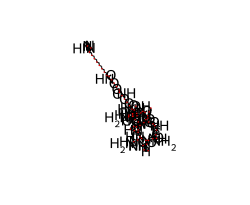 CCCC[C@H](NC(=O)[C@H](CN)NC[C@H](Cc1c[nH]cn1)NC(=O)[C@H](CCC(N)=O)NC(=O)[C@H](CO)NC(=O)COCCOCCNC(=O)COCCOCCNC(=O)CCCCCCCCCCCCCCCc1nnn[nH]1)C(=O)N[C@H]1CCC(=O)NCCCC[C@@H](C(N)=O)NC(=O)[C@H](Cc2c[nH]c3ccccc23)NC(=O)[C@H](CCCNC(=N)N)NC(=O)[C@@H](Cc2ccccc2)NC(=O)[C@@H]2C[C@@H](O)CN2C1=O